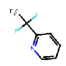 FC(F)(F)C(F)(F)c1[c]cccn1